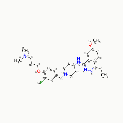 CCc1nnc(NC2CCN(Cc3ccc(OCCCN(C)C)c(F)c3)CC2)c2c1=CCC(OC)C=2